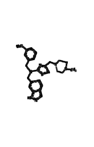 COc1cccc(CN(Cc2ccc3cn[nH]c3c2)c2nc(CN3CCN(C)CC3)cs2)c1